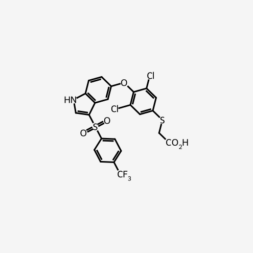 O=C(O)CSc1cc(Cl)c(Oc2ccc3[nH]cc(S(=O)(=O)c4ccc(C(F)(F)F)cc4)c3c2)c(Cl)c1